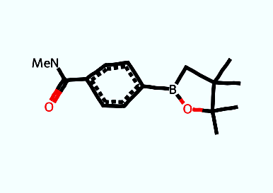 CNC(=O)c1ccc(B2CC(C)(C)C(C)(C)O2)cc1